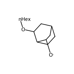 [CH2]CCCCCOC1CC2CCC1C([O])C2